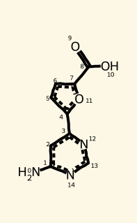 Nc1cc(-c2ccc(C(=O)O)o2)ncn1